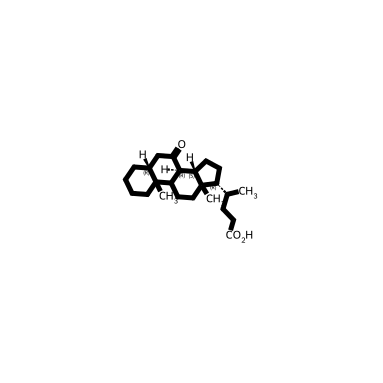 CC(CCC(=O)O)[C@H]1CC[C@H]2[C@@H]3C(=O)C[C@H]4CCCCC4(C)C3CCC12C